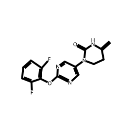 C=C1CCN(c2cnc(Oc3c(F)cccc3F)nc2)C(=O)N1